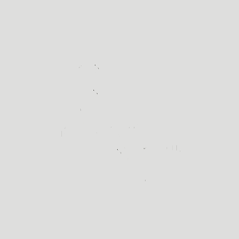 Cc1cccc(NC(=O)c2cc(N3CCNCC3)cc(C(C)(C)C)c2)c1